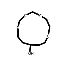 OC1CCCC[CH]CCCCCCC1